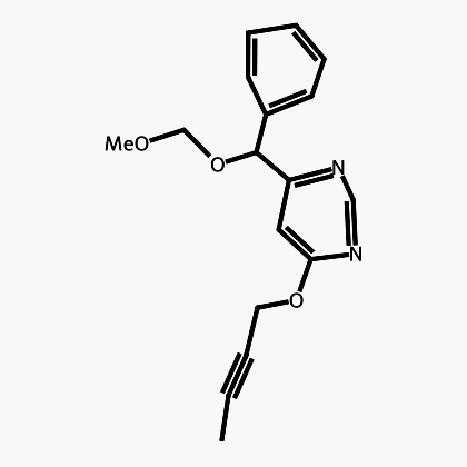 CC#CCOc1cc(C(OCOC)c2ccccc2)ncn1